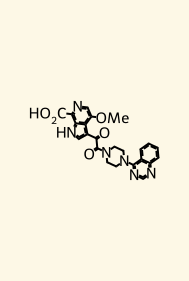 COc1cnc(C(=O)O)c2[nH]cc(C(=O)C(=O)N3CCN(c4ncnc5ccccc45)CC3)c12